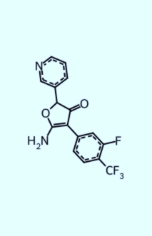 NC1=C(c2ccc(C(F)(F)F)c(F)c2)C(=O)C(c2cccnc2)O1